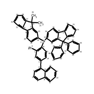 CC(C)c1cc(-c2cccc3ccccc23)ccc1N(c1ccc2c(c1)C(C)(C)c1ccccc1-2)c1ccc2c(c1)C(c1ccccc1)(c1ccccc1)c1ccccc1-2